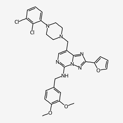 COc1ccc(CNc2ncc(CN3CCN(c4cccc(Cl)c4Cl)CC3)c3nc(-c4ccco4)nn23)cc1OC